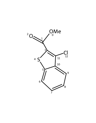 COC(=O)c1sc2ccccc2c1Cl